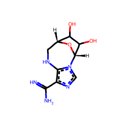 N=C(N)c1ncn2c1NC[C@H]1O[C@@H]2C(O)C1O